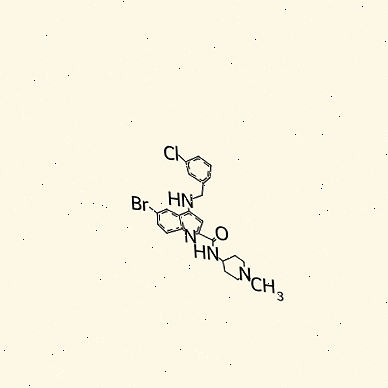 CN1CCC(NC(=O)c2cc(NCc3cccc(Cl)c3)c3cc(Br)ccc3n2)CC1